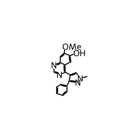 COc1cc2ncnc(-c3cn(C)nc3-c3ccccc3)c2cc1O